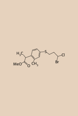 COC(=O)C(C)c1ccc(SCCC(Cl)Br)cc1C